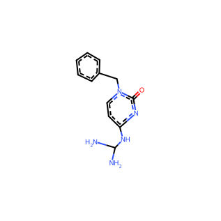 NC(N)Nc1ccn(Cc2ccccc2)c(=O)n1